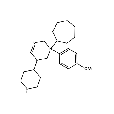 COc1ccc([N+]2(C3CCCCCC3)CN=CN(C3CCNCC3)C2)cc1